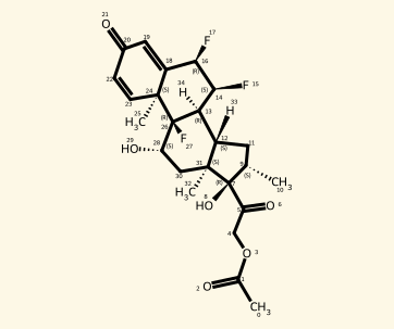 CC(=O)OCC(=O)[C@@]1(O)[C@@H](C)C[C@H]2[C@@H]3[C@H](F)[C@H](F)C4=CC(=O)C=C[C@]4(C)[C@@]3(F)[C@@H](O)C[C@@]21C